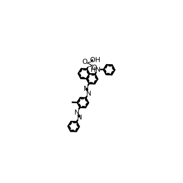 Cc1cc(/N=N/c2ccc(Nc3ccccc3)c3c(S(=O)(=O)O)cccc23)ccc1/N=N/c1ccccc1